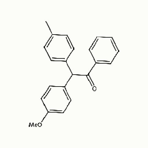 COc1ccc(C(C(=O)c2ccccc2)c2ccc(C)cc2)cc1